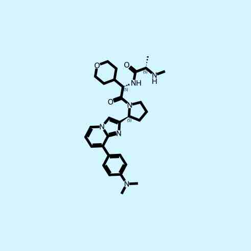 CN[C@@H](C)C(=O)N[C@H](C(=O)N1CCC[C@H]1c1cn2cccc(-c3ccc(N(C)C)cc3)c2n1)C1CCOCC1